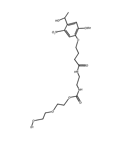 CCOCCOCCOC(=O)NCCNC(=O)CCCOc1cc([N+](=O)[O-])c(C(C)O)cc1OC